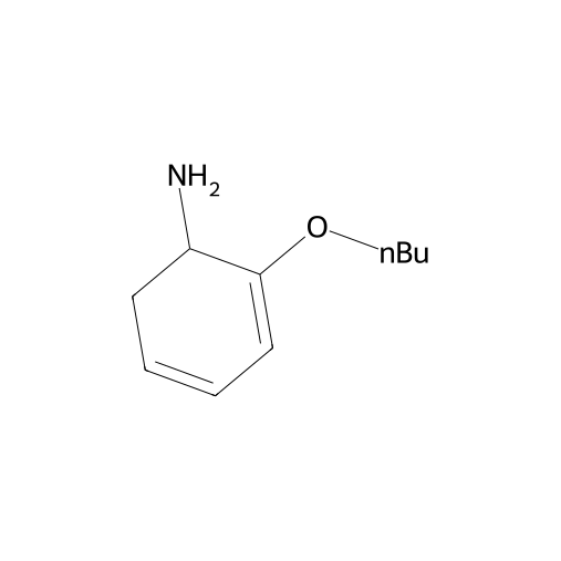 CCCCOC1=CC=CCC1N